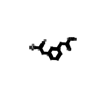 COC(=O)Cc1cccc(CC(N)=O)c1